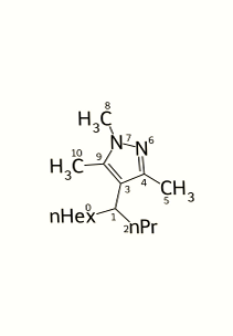 CCCCCCC(CCC)c1c(C)nn(C)c1C